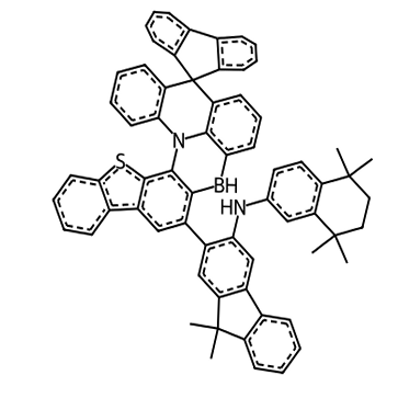 CC1(C)CCC(C)(C)c2cc(Nc3cc4c(cc3-c3cc5c(sc6ccccc65)c5c3Bc3cccc6c3N5c3ccccc3C63c5ccccc5-c5ccccc53)C(C)(C)c3ccccc3-4)ccc21